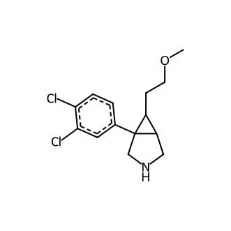 COCCC1C2CNCC12c1ccc(Cl)c(Cl)c1